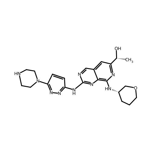 C[C@@H](O)c1cc2cnc(Nc3ccc(N4CCNCC4)nn3)nc2c(N[C@H]2CCCOC2)n1